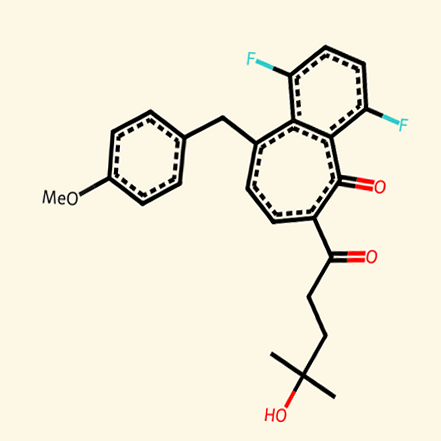 COc1ccc(Cc2ccc(C(=O)CCC(C)(C)O)c(=O)c3c(F)ccc(F)c23)cc1